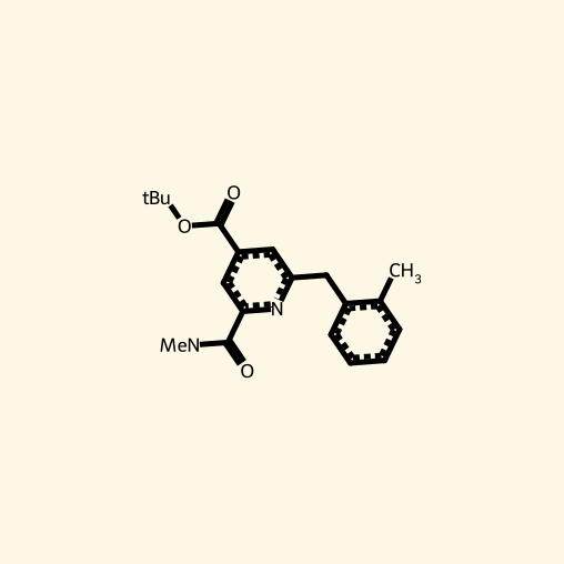 CNC(=O)c1cc(C(=O)OC(C)(C)C)cc(Cc2ccccc2C)n1